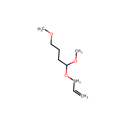 C=C[SiH2]OC(CCCOC)OC